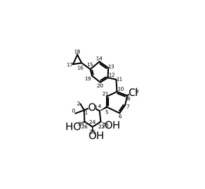 CC1(C)O[C@@H](c2ccc(Cl)c(Cc3ccc(C4CC4)cc3)c2)[C@H](O)[C@@H](O)[C@@H]1O